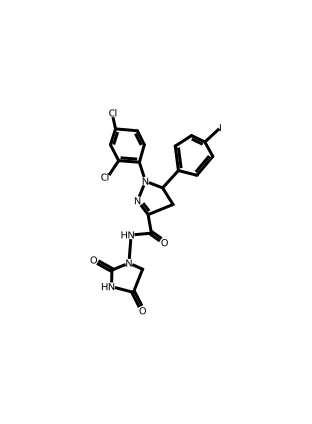 O=C1CN(NC(=O)C2=NN(c3ccc(Cl)cc3Cl)C(c3ccc(I)cc3)C2)C(=O)N1